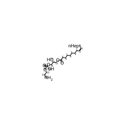 CCCCCCC/C=C\CCCCCCCC(=O)OC[C@@H](O)COP(=O)(O)OCCN